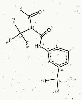 CC(=O)C(C(=O)Nc1cccc(C(C)(F)F)c1)C(F)(F)F